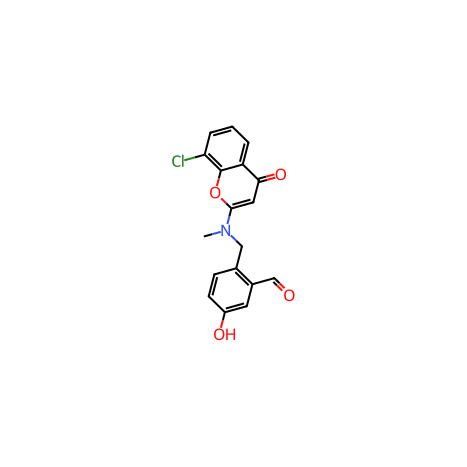 CN(Cc1ccc(O)cc1C=O)c1cc(=O)c2cccc(Cl)c2o1